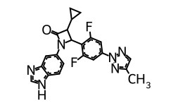 Cc1cnn(-c2cc(F)c(C3C(C4CC4)C(=O)N3c3ccc4[nH]cnc4c3)c(F)c2)n1